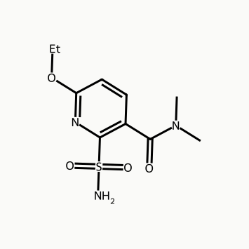 CCOc1ccc(C(=O)N(C)C)c(S(N)(=O)=O)n1